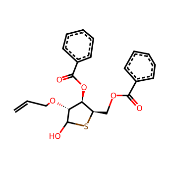 C=CCO[C@H]1C(O)S[C@H](COC(=O)c2ccccc2)[C@@H]1OC(=O)c1ccccc1